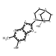 Cc1nc2nc(N3CCN4CC[C@@H]3C4)oc2cc1Br